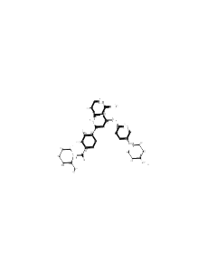 O=C(c1ccc(-c2cc(Nc3ccc(N4CCC(O)CC4)cn3)c3c(=O)[nH]ccc3n2)c(F)c1)N1CCCCC1CO